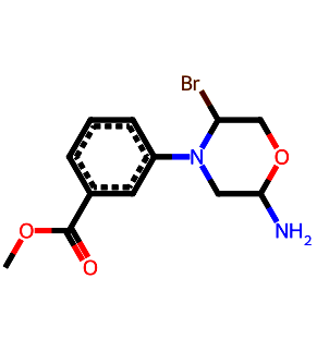 COC(=O)c1cccc(N2CC(N)OCC2Br)c1